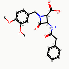 COc1ccc(CN2C(=O)C(NC(=O)Cc3ccccc3)C2C(=O)O)cc1OC